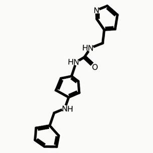 O=C(NCc1cccnc1)Nc1ccc(NCc2ccccc2)cc1